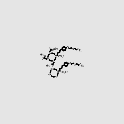 CCOCCOCCOc1ccc(CCCC(C(=O)OCC)N2CCN(CC(=O)OC(C)(C)C)CCN(CC(=O)OC(C)(C)C)CCN(CC(=O)OC(C)(C)C)CC2)cc1.CCOCCOCCOc1ccc(CCCC(C(=O)OCC)N2CCNCCNCCNCC2)cc1